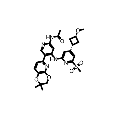 CO[C@H]1C[C@H](c2cc(Nc3cc(NC(C)=O)ncc3-c3ccc4c(n3)OCC(C)(C)O4)nc(S(C)(=O)=O)c2)C1